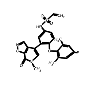 C=CS(=O)(=O)Nc1ccc(Oc2c(C)cc(F)cc2C)c(-c2cn(C)c(=O)c3oncc23)c1